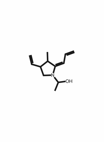 C=C/C=C1\C(C)C(C=C)CN1C(C)O